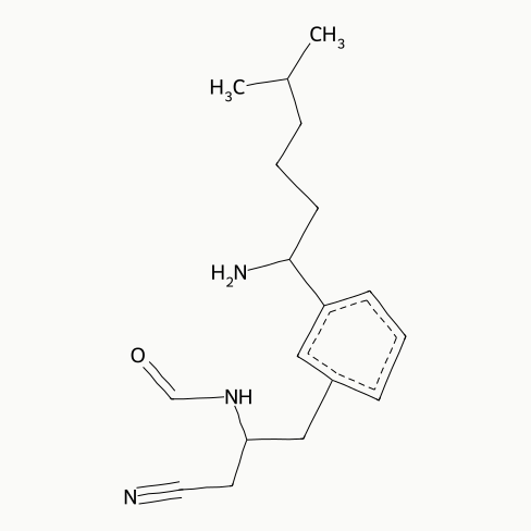 CC(C)CCCC(N)c1cccc(CC(CC#N)NC=O)c1